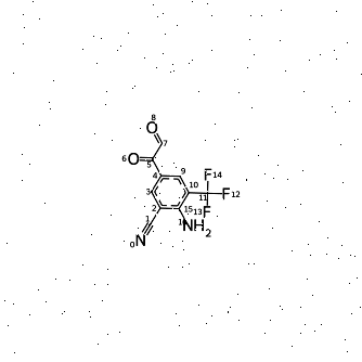 N#Cc1cc(C(=O)C=O)cc(C(F)(F)F)c1N